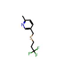 Cc1ccc(CSCCC(F)(F)F)cn1